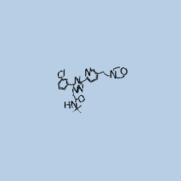 CC(C)(C)NC(=O)Cn1nc(-c2ccc(CCN3CCOCC3)cn2)nc1-c1cccc(Cl)c1